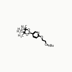 CCCCOCCOc1ccc(B2OC(C)(C)C(C)(C)O2)cn1